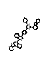 c1ccc(-c2cc(-c3ccc(-c4ccc(-c5nc6sc7ccccc7c6c6ccccc56)c5ccccc45)cc3)nc(-c3cccc4c3sc3ccccc34)n2)cc1